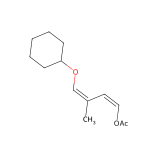 CC(=O)O/C=C\C(C)=C/OC1CCCCC1